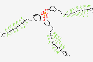 O=P(Oc1ccc(CCC(F)(F)C(F)(F)C(F)(F)C(F)(F)C(F)(F)C(F)(F)C(F)(F)C(F)(F)F)cc1)(Oc1ccc(CCC(F)(F)C(F)(F)C(F)(F)C(F)(F)C(F)(F)C(F)(F)C(F)(F)C(F)(F)F)cc1)Oc1ccc(CCC(F)(F)C(F)(F)C(F)(F)C(F)(F)C(F)(F)C(F)(F)C(F)(F)C(F)(F)F)cc1